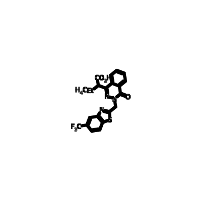 C.CCC(C(=O)O)c1nn(Cc2nc3cc(C(F)(F)F)ccc3s2)c(=O)c2ccccc12